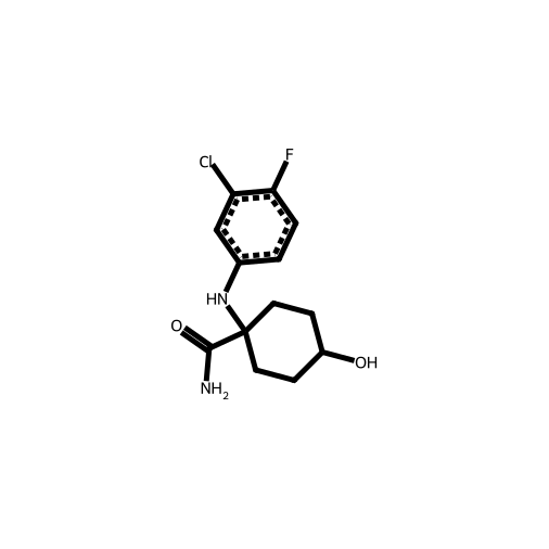 NC(=O)C1(Nc2ccc(F)c(Cl)c2)CCC(O)CC1